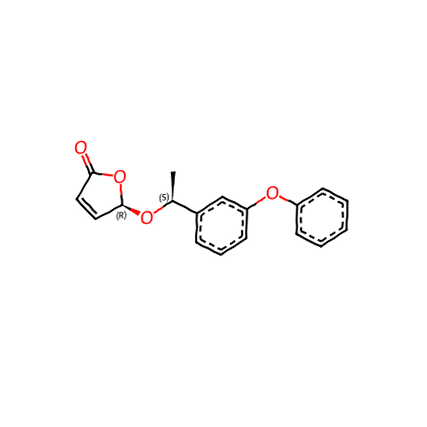 C[C@H](O[C@H]1C=CC(=O)O1)c1cccc(Oc2ccccc2)c1